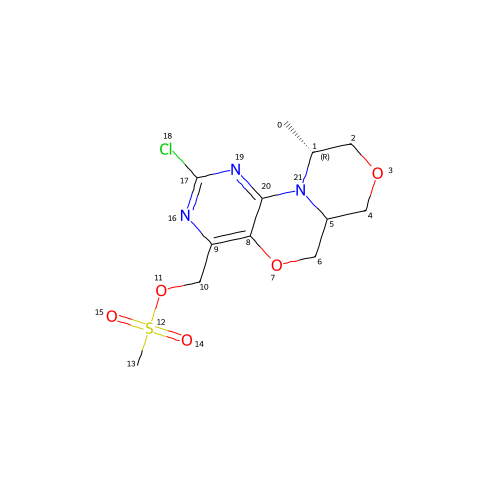 C[C@@H]1COCC2COc3c(COS(C)(=O)=O)nc(Cl)nc3N21